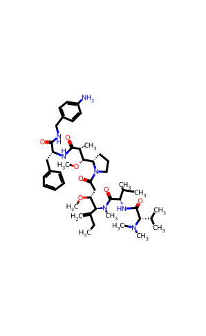 C=C(CC)[C@@H]([C@@H](CC(=O)N1CCC[C@H]1[C@H](OC)[C@@H](C)C(=O)N[C@H](Cc1ccccc1)C(=O)NCc1ccc(N)cc1)OC)N(C)C(=O)[C@@H](NC(=O)[C@H](C(C)C)N(C)C)C(C)C